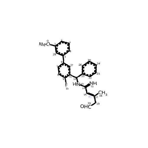 COc1cccc(-c2ccc(F)c(C(NC(=N)/C=C(\C)CC=O)c3ccccc3)c2)c1